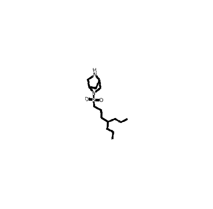 CCCC(CCC)CCCS(=O)(=O)N1CC2CC1CN2